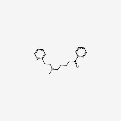 CN(CCCCC(=O)c1ccccc1)CCc1ccccn1